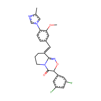 COc1cc(/C=C2\CCCN3C(=O)C(c4cc(F)cc(F)c4)ON=C23)ccc1-n1cnc(C)c1